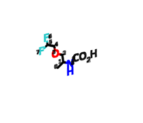 CC(COCC(F)F)NC(=O)O